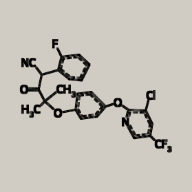 CC(C)(Oc1ccc(Oc2ncc(C(F)(F)F)cc2Cl)cc1)C(=O)C(C#N)c1ccccc1F